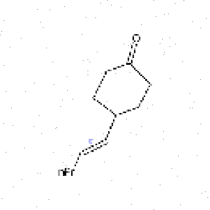 CCC/C=C/C1CCC(=O)CC1